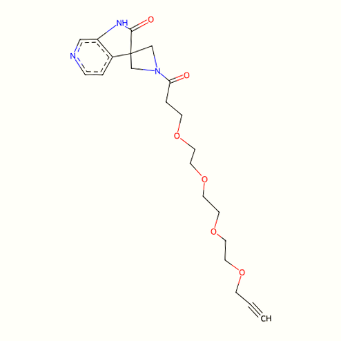 C#CCOCCOCCOCCOCCC(=O)N1CC2(C1)C(=O)Nc1cnccc12